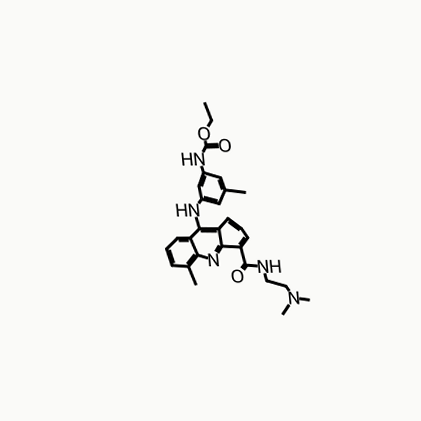 CCOC(=O)Nc1cc(C)cc(Nc2c3cccc(C)c3nc3c(C(=O)NCCN(C)C)cccc23)c1